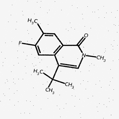 Cc1cc2c(=O)n(C)cc(C(C)(C)C)c2cc1F